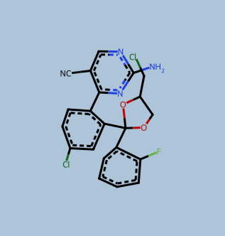 N#Cc1cnc(N)nc1-c1ccc(Cl)cc1C1(c2ccccc2F)OCC(CCl)O1